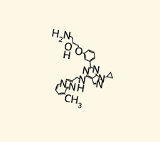 Cc1cccn2cc(CNc3nc(-c4cccc(OCC(O)CN)c4)nc4c3cnn4C3CC3)nc12